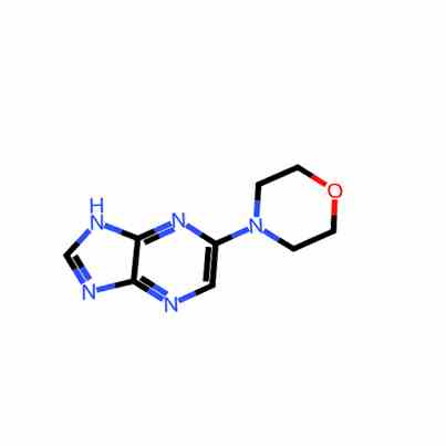 c1nc2ncc(N3CCOCC3)nc2[nH]1